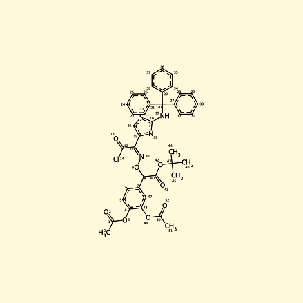 CC(=O)Oc1ccc(C(ON=C(C(=O)Cl)c2csc(NC(c3ccccc3)(c3ccccc3)c3ccccc3)n2)C(=O)OC(C)(C)C)cc1OC(C)=O